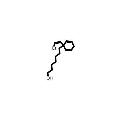 CC/C=C\C1(CCCCCCCO)C=CCC=C1